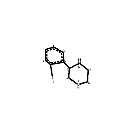 Fc1ccccc1C1CNCCN1